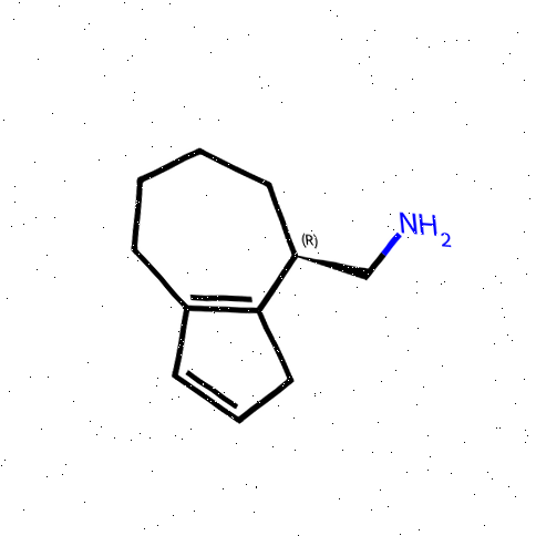 NC[C@@H]1CCCCC2=C1CC=C2